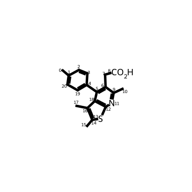 Cc1ccc(-c2c(CC(=O)O)c(C)nc3sc(C)c(C)c23)cc1